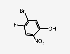 O=[N+]([O-])c1cc(F)c(Br)cc1O